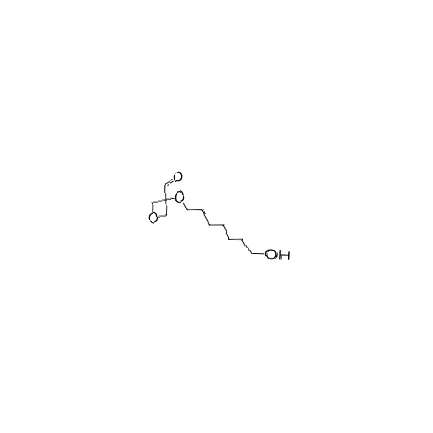 O=CC1(OCCCCCCCO)COC1